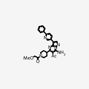 COCC(=O)N1CCC(c2nc3c(-c4ccc(-c5ccccc5)nc4)cnn3c(N)c2C(C)=O)CC1